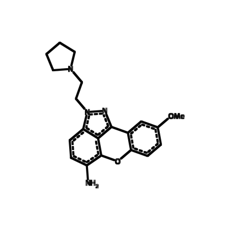 COc1ccc2c(c1)-c1nn(CCN3CCCC3)c3ccc(N)c(c13)O2